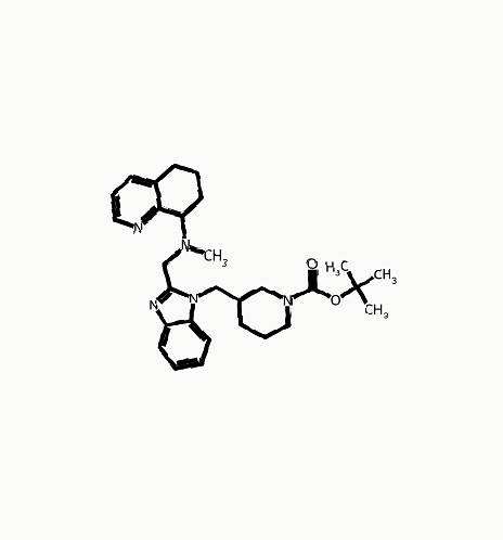 CN(Cc1nc2ccccc2n1CC1CCCN(C(=O)OC(C)(C)C)C1)C1CCCc2cccnc21